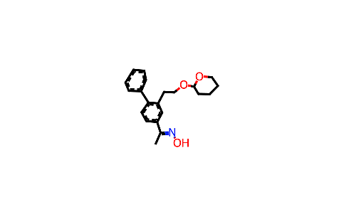 CC(=NO)c1ccc(-c2ccccc2)c(CCOC2CCCCO2)c1